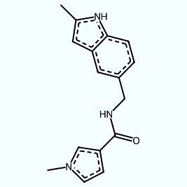 Cc1cc2cc(CNC(=O)c3ccn(C)c3)ccc2[nH]1